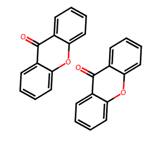 O=c1c2ccccc2oc2ccccc12.O=c1c2ccccc2oc2ccccc12